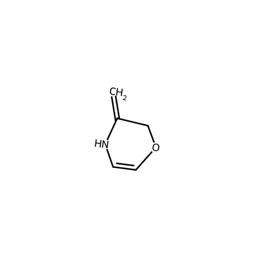 C=C1COC=CN1